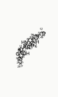 C=CC(=O)Nc1cc(Nc2nc(-c3ccnc(N4CCn5c(cc6c5CC(C)(C)C6)C4=O)c3CO)cn(C)c2=O)ccc1N1CCN([C@@H]2CCO[C@@H](C)C2)C[C@@H]1C